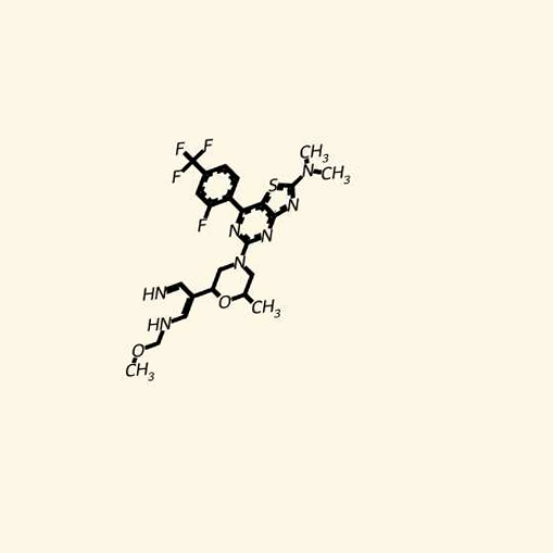 COCN/C=C(\C=N)C1CN(c2nc(-c3ccc(C(F)(F)F)cc3F)c3sc(N(C)C)nc3n2)CC(C)O1